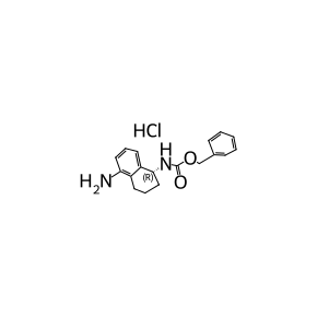 Cl.Nc1cccc2c1CCC[C@H]2NC(=O)OCc1ccccc1